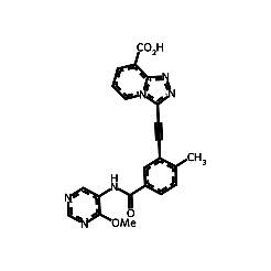 COc1ncncc1NC(=O)c1ccc(C)c(C#Cc2nnc3c(C(=O)O)cccn23)c1